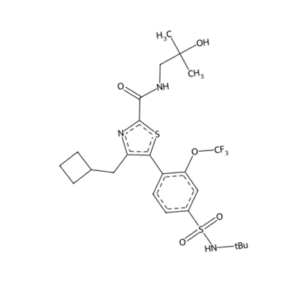 CC(C)(O)CNC(=O)c1nc(CC2CCC2)c(-c2ccc(S(=O)(=O)NC(C)(C)C)cc2OC(F)(F)F)s1